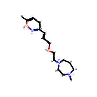 CC1=CCC(CCCOCCN2CCCN(C)CC2)=NO1